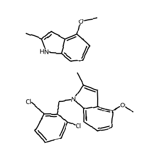 COc1cccc2[nH]c(C)cc12.COc1cccc2c1cc(C)n2Cc1c(Cl)cccc1Cl